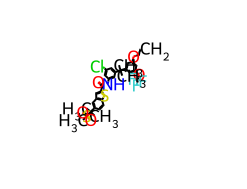 C=CCOc1cc(OC(F)(F)F)cc(C(C)(C)c2cc(Cl)cc(NC(=O)c3cc4cc(C(C)(C)S(C)(=O)=O)ccc4s3)c2)c1